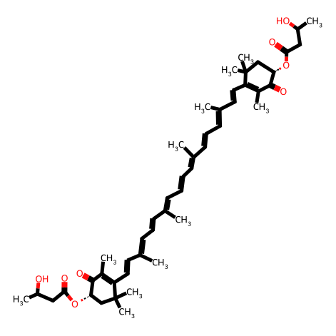 CC1=C(/C=C/C(C)=C/C=C/C(C)=C/C=C/C=C(C)/C=C/C=C(C)/C=C/C2=C(C)C(=O)[C@@H](OC(=O)CC(C)O)CC2(C)C)C(C)(C)C[C@H](OC(=O)CC(C)O)C1=O